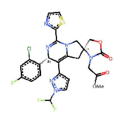 COC(=O)CN1C(=O)OC[C@@]12CC1=C(c3ccn(C(F)F)n3)[C@H](c3ccc(F)cc3Cl)N=C(c3nccs3)N1C2